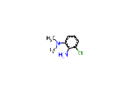 CN(C)c1cccc(Cl)c1N